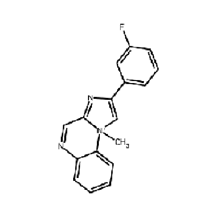 C[N+]12C=C(c3cccc(F)c3)N=C1C=Nc1ccccc12